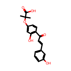 CC(C)(Oc1ccc(C(=O)/C=C/c2cccc(O)c2)c(O)c1)C(=O)O